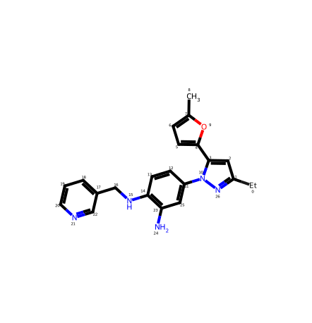 CCc1cc(-c2ccc(C)o2)n(-c2ccc(NCc3cccnc3)c(N)c2)n1